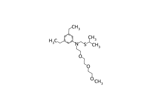 CCc1cc(CC)cc(N(CCOCCOCCOC)CSC(C)C)c1